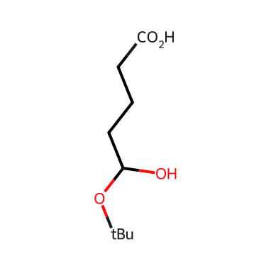 CC(C)(C)OC(O)CCCC(=O)O